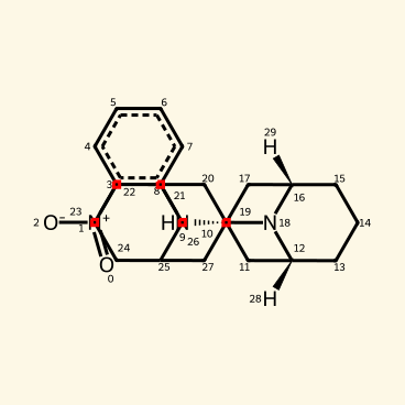 O=[N+]([O-])c1ccccc1N[C@H]1C[C@H]2CCC[C@@H](C1)N2C1CC2CCCC(C2)C1